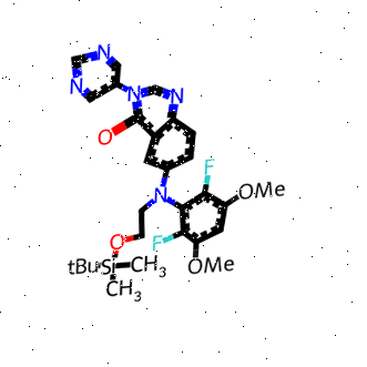 COc1cc(OC)c(F)c(N(CCO[Si](C)(C)C(C)(C)C)c2ccc3ncn(-c4cncnc4)c(=O)c3c2)c1F